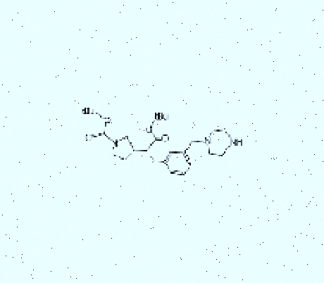 CC(C)(C)OC(=O)[C@H](Cc1cccc(CN2CCNCC2)c1)[C@@H]1CCN(C(=O)OC(C)(C)C)C1